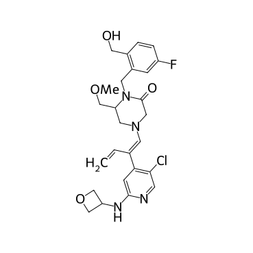 C=C/C(=C\N1CC(=O)N(Cc2cc(F)ccc2CO)C(COC)C1)c1cc(NC2COC2)ncc1Cl